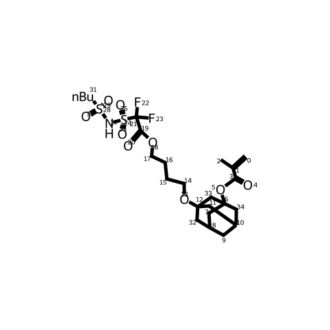 C=C(C)C(=O)OC12CC3CC(CC(OCCCCOC(=O)C(F)(F)S(=O)(=O)NS(=O)(=O)CCCC)(C3)C1)C2